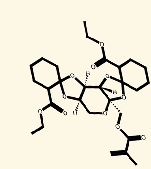 C=C(C)C(=O)OC[C@]12OC[C@H]3OC4(CCCCC4C(=O)OCC)O[C@H]3[C@@H]1OC1(CCCCC1C(=O)OCC)O2